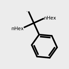 [CH2]C(CCCCCC)(CCCCCC)c1ccccc1